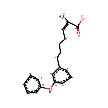 CC(=CCCCCc1cccc(Oc2ccccc2)c1)C(=O)O